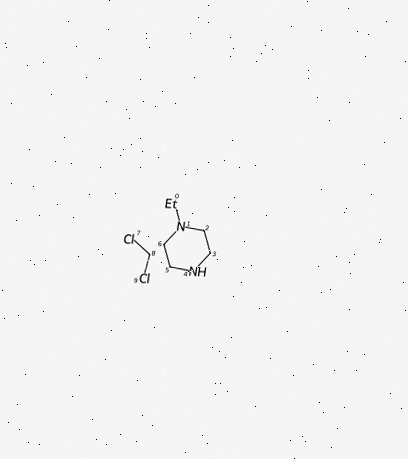 CCN1CCNCC1.ClCCl